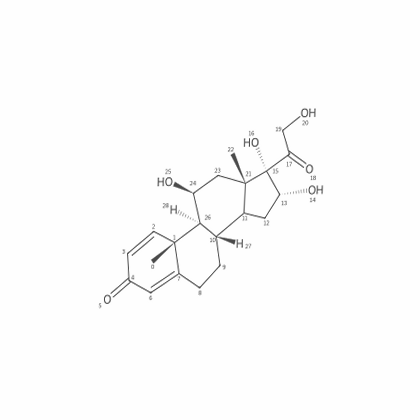 C[C@]12C=CC(=O)C=C1CC[C@H]1C3C[C@@H](O)[C@](O)(C(=O)CO)[C@@]3(C)C[C@H](O)[C@@H]12